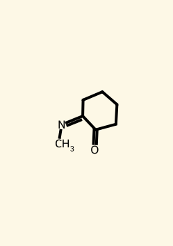 C/N=C1/CCCCC1=O